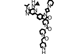 CC(C)n1cnc2cc(-c3ccc4c(c3)N(C3CC(N5CCCCC5)C3)C(=O)C43CCN(C(=O)[C@H]4CCCN(C(=O)CC5CCNCC5)C4)CC3)nc(NC3CC3)c21